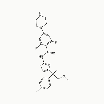 COCC(C)(c1ccc(C)cc1)c1csc(NC(=O)c2c(F)cc(N3CCNCC3)cc2F)n1